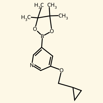 CC1(C)OB(c2cncc(OCC3CC3)c2)OC1(C)C